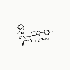 CNC(=O)c1c(-c2ccc(F)cc2)oc2ccc(-c3cc(C(=O)NC4(c5ccccn5)CC4)c(OC(C)C)cc3O)cc12